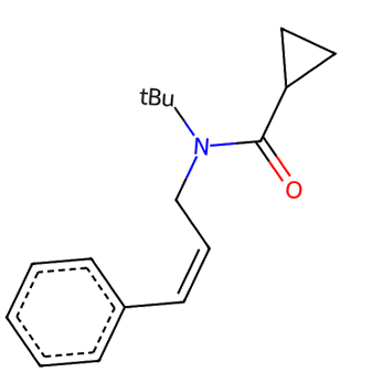 CC(C)(C)N(C/C=C\c1ccccc1)C(=O)C1CC1